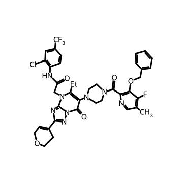 CCc1c(N2CCN(C(=O)c3ncc(C)c(F)c3OCc3ccccc3)CC2)c(=O)n2nc(C3=CCOCC3)nc2n1CC(=O)Nc1ccc(C(F)(F)F)cc1Cl